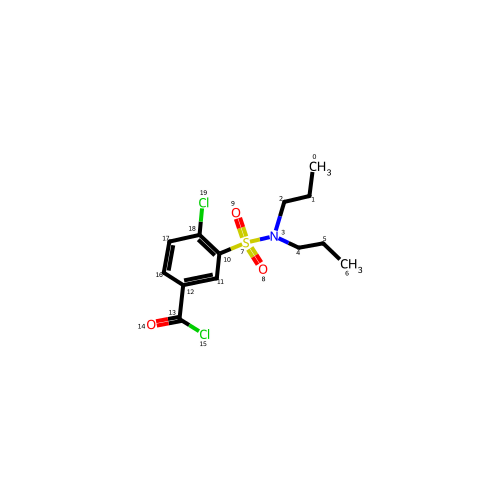 CCCN(CCC)S(=O)(=O)c1cc(C(=O)Cl)ccc1Cl